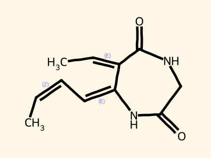 C\C=C/C=C1/NC(=O)CNC(=O)/C1=C/C